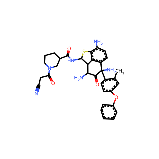 Cc1cc(Oc2ccccc2)ccc1C1(N)C(=O)C(N)C2c3c1ccc(N)c3SC2NC(=O)C1CCCN(C(=O)CC#N)C1